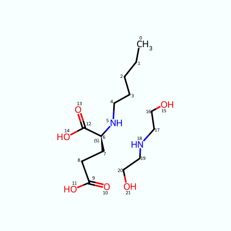 CCCCCN[C@@H](CCC(=O)O)C(=O)O.OCCNCCO